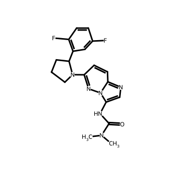 CN(C)C(=O)Nc1cnc2ccc(N3CCCC3c3cc(F)ccc3F)nn12